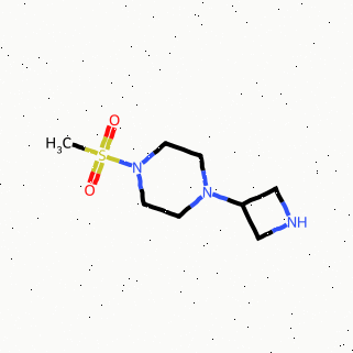 CS(=O)(=O)N1CCN(C2CNC2)CC1